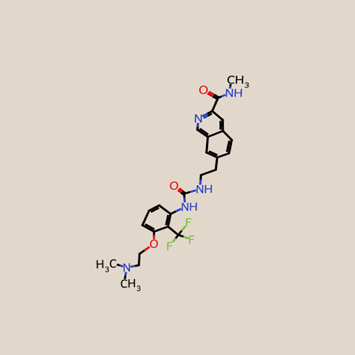 CNC(=O)c1cc2ccc(CCNC(=O)Nc3cccc(OCCN(C)C)c3C(F)(F)F)cc2cn1